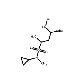 CC(C)N[C@H](CN(C)S(=O)(=O)N(C)C1CC1)C(C)(C)C